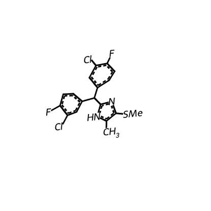 CSc1nc(C(c2ccc(F)c(Cl)c2)c2ccc(F)c(Cl)c2)[nH]c1C